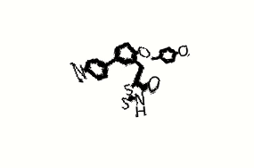 COc1ccc(COc2ccc(-c3ccc(N(C)C)cc3)cc2/C=C2\SC(=S)NC2=O)cc1